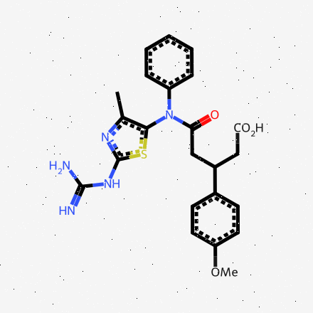 COc1ccc(C(CC(=O)O)CC(=O)N(c2ccccc2)c2sc(NC(=N)N)nc2C)cc1